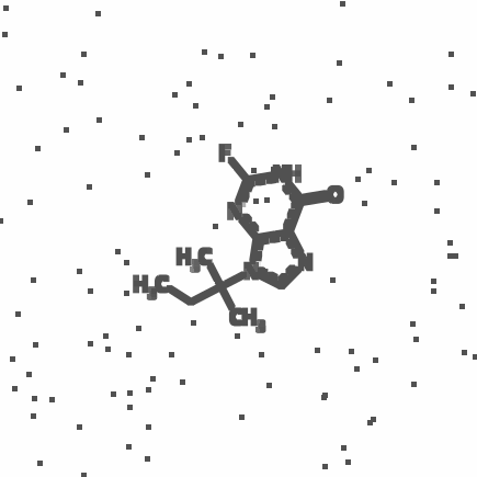 CCC(C)(C)n1cnc2c(=O)[nH]c(F)nc21